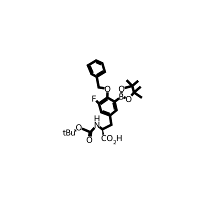 CC(C)(C)OC(=O)N[C@@H](Cc1cc(F)c(OCc2ccccc2)c(B2OC(C)(C)C(C)(C)O2)c1)C(=O)O